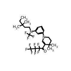 CCC(C)(C)CCN(c1cccc(N2C=C(C(=O)C(F)(F)C(F)(F)C(F)(F)F)C(C)(C)CC2)c1)C(F)(F)F